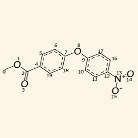 COC(=O)c1ccc(Oc2ccc([N+](=O)[O-])cc2)cc1